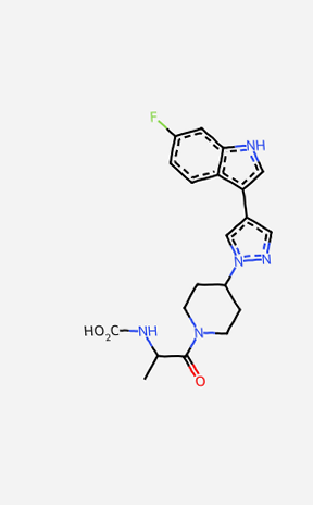 CC(NC(=O)O)C(=O)N1CCC(n2cc(-c3c[nH]c4cc(F)ccc34)cn2)CC1